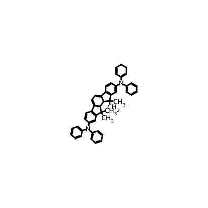 CC1(C)c2cc(N(C3=CCCC=C3)c3ccccc3)ccc2C2=CC=C3c4ccc(N(c5ccccc5)c5ccccc5)cc4C(C)(C)C3C21